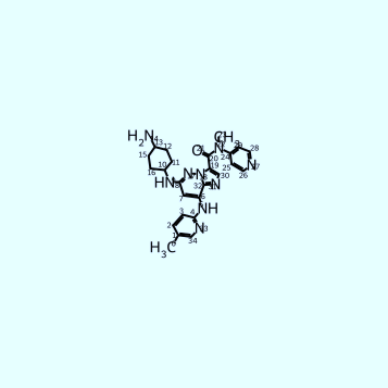 Cc1ccc(Nc2cc(NC3CCC(N)CC3)nn3c(C(=O)N(C)c4ccncc4)cnc23)nc1